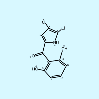 O=C(c1cc(Cl)c(Cl)[nH]1)c1c(O)cccc1O